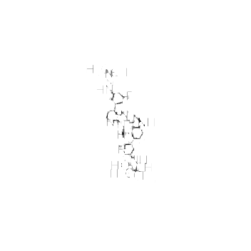 CN(C)CCNc1cc(F)cc(-c2ccnc3[nH]c(-c4n[nH]c5ccc(-c6cncc(NC(O)C(C)(C)C)c6)c(F)c45)nc23)c1